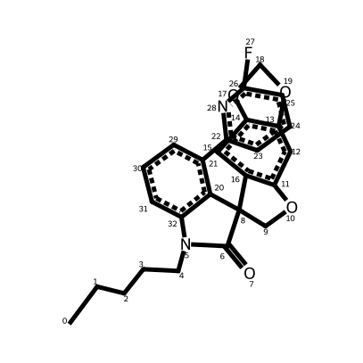 CCCCCN1C(=O)C2(COc3cc4c(cc32)OCO4)c2c(-c3cccc(F)n3)cccc21